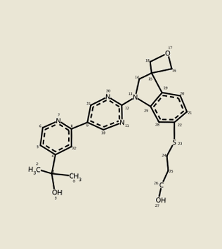 CC(C)(O)c1ccnc(-c2cnc(N3CC4(COC4)c4ccc(SCCCO)cc43)nc2)c1